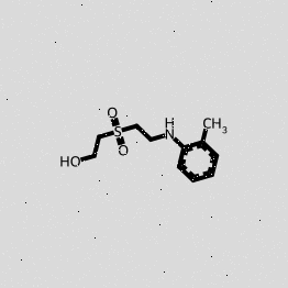 Cc1ccccc1NCCS(=O)(=O)CCO